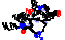 C=C1/C=C(/C(=O)N(CCC)CCC)C/C(N)=N\C/C=C(c2ccc(C=O)c(/C=C\N(C)CC(C)(C)O)c2)\C=C/1F